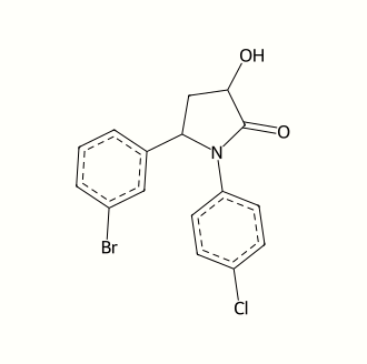 O=C1C(O)CC(c2cccc(Br)c2)N1c1ccc(Cl)cc1